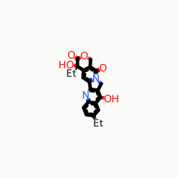 CCc1ccc2nc3c(c(O)c2c1)Cn1c-3cc2c(c1=O)COC(=O)[C@]2(O)CC